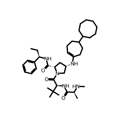 CC[C@@H](NC(=O)[C@@H]1C[C@H](NC2=CCCC(C3CCCCCCC3)CC2)CN1C(=O)[C@@H](NC(=O)[C@H](C)NC)C(C)(C)C)c1ccccc1